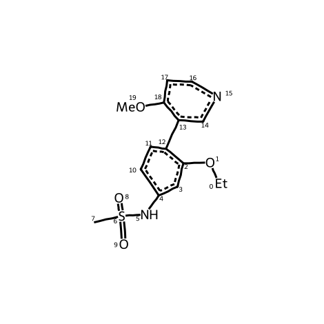 CCOc1cc(NS(C)(=O)=O)ccc1-c1cnccc1OC